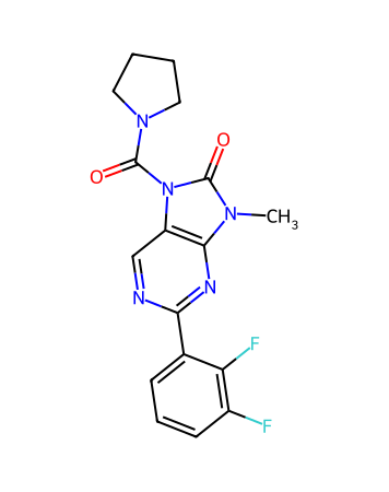 Cn1c(=O)n(C(=O)N2CCCC2)c2cnc(-c3cccc(F)c3F)nc21